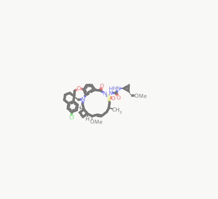 COC[C@H]1C[C@@H]1NC(=O)NS1(=O)=NC(=O)c2ccc3c(c2)N(C[C@@H]2CC[C@H]2[C@@H](OC)/C=C/C[C@H](C)C1)C[C@@]1(CCCc2cc(Cl)ccc21)CO3